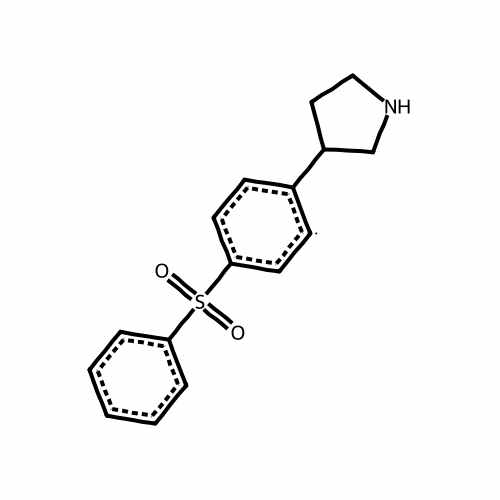 O=S(=O)(c1c[c]c(C2CCNC2)cc1)c1ccccc1